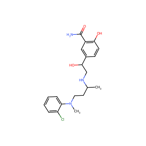 CC(CCN(C)c1ccccc1Cl)NCC(O)c1ccc(O)c(C(N)=O)c1